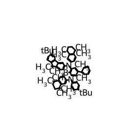 Cc1cc(C(C)(C)C)ccc1N1c2cc3c(cc2B2c4cc5c(cc4N(c4cc6c(cc4C)C(C)(C)CCC6(C)C)c4cc(-c6ccccc6)cc1c42)-c1cc(C(C)(C)C)ccc1C5(C)C)C(C)(C)CCC3(C)C